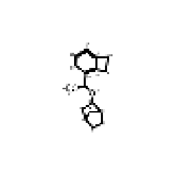 CC(OC1CC2CCC1C2)C1=C2CCC2=C=CC1